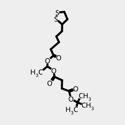 CC(OC(=O)CCCCC1CCSS1)OC(=O)CCC(=O)OC(C)(C)C